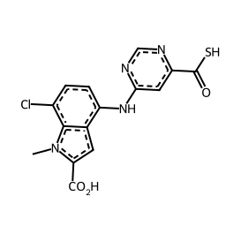 Cn1c(C(=O)O)cc2c(Nc3cc(C(=O)S)ncn3)ccc(Cl)c21